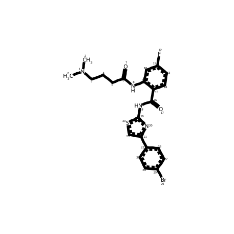 CN(C)CCCC(=O)Nc1cc(F)ccc1C(=O)Nc1nc(-c2ccc(Br)cc2)cs1